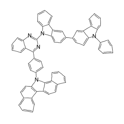 c1ccc(-n2c3ccccc3c3cc(-c4ccc5c(c4)c4ccccc4n5-c4nc(-c5ccc(-n6c7ccc8ccccc8c7c7ccc8ccccc8c76)cc5)c5ccccc5n4)ccc32)cc1